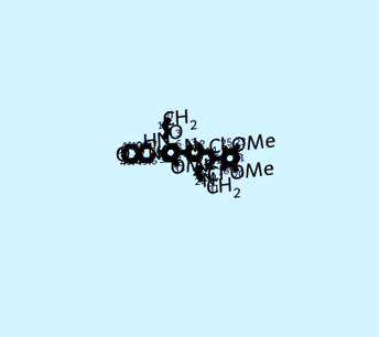 C=CC(=O)Nc1cc(-c2cc3c(cn2)C=C(c2c(Cl)c(OC)cc(OC)c2Cl)CN3/C=C\N=C)c(OC)cc1N1CCC2(CCOCC2)CC1